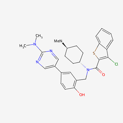 CN[C@H]1CC[C@H](N(Cc2cc(-c3cnc(N(C)C)nc3)ccc2O)C(=O)c2sc3ccccc3c2Cl)CC1